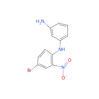 Nc1cccc(Nc2ccc(Br)cc2[N+](=O)[O-])c1